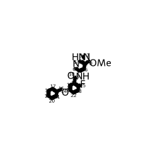 COc1n[nH]c2ncc(NC(=O)c3cc(OCc4ccccc4)ccc3F)cc12